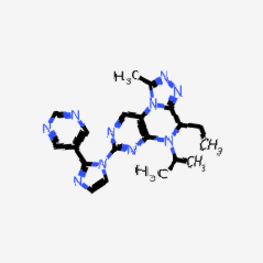 CCC1c2nnc(C)n2-c2cnc(-n3ccnc3-c3cncnc3)nc2N1C(C)C